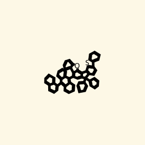 c1ccc(C2(c3ccccc3)c3cc(-c4c5ccccc5c(-c5cccc6ccccc56)c5ccccc45)c4c(oc5ccccc54)c3-c3c2ccc2c3sc3ccccc32)cc1